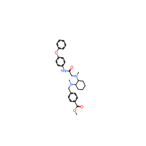 COC(=O)c1ccc(CN(C)C2CCCCC2N(C)CC(=O)Nc2ccc(Oc3ccccc3)cc2)cc1